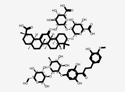 CC1(C)[C@@H](O[C@H]2O[C@H](C(=O)O)[C@@H](O)[C@H](O)[C@H]2O[C@@H]2O[C@H](C(=O)O)[C@@H](O)[C@H](O)[C@H]2O)CC[C@]2(C)[C@H]3C(=O)C=C4[C@@H]5C[C@@](C)(C(=O)O)CC[C@]5(C)CC[C@@]4(C)[C@]3(C)CC[C@@H]12.COc1ccc(CCC(=O)c2c(O)cc(O[C@H]3[C@H](O[C@@H]4[C@@H](O)[C@H](O)[C@@H](CO)O[C@H]4O)O[C@@H](C)[C@H](O)[C@H]3O)cc2O)cc1O